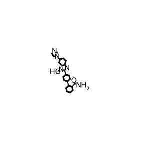 NC(=O)c1ccccc1-c1ccc(-c2nc3ccc(-n4ccnc4)cc3n2O)cc1